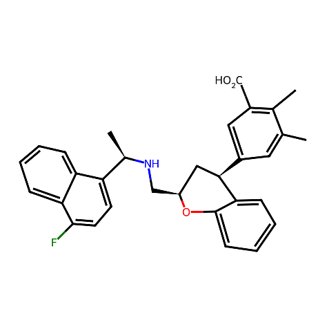 Cc1cc([C@@H]2C[C@H](CN[C@H](C)c3ccc(F)c4ccccc34)Oc3ccccc32)cc(C(=O)O)c1C